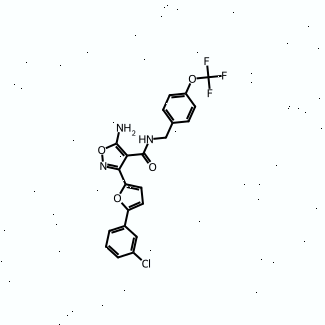 Nc1onc(-c2ccc(-c3cccc(Cl)c3)o2)c1C(=O)NCc1ccc(OC(F)(F)F)cc1